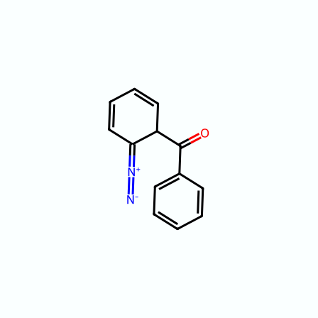 [N-]=[N+]=C1C=CC=CC1C(=O)c1ccccc1